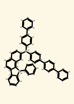 c1ccc(-c2ccc(-c3ccc(N(c4ccc(-c5ccccc5)cc4)c4ccc5ccc6c7ccccc7n(-c7ccccc7)c6c5c4)cc3)cc2)cc1